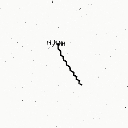 CCCCCCCCCCCCCCCCC(=N)N